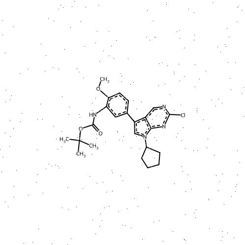 COc1ccc(-c2cn(C3CCCC3)c3nc(Cl)ncc23)cc1NC(=O)OC(C)(C)C